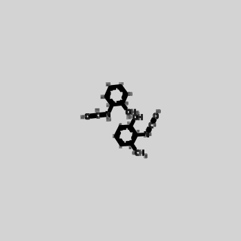 Cc1cccc(O)c1N=C=O.O=C=Nc1ccccc1O